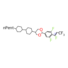 CCCCCC1CCC(C2CCC(C3COC(c4cc(F)c(/C(F)=C/C(F)(F)F)c(F)c4)OC3)CC2)CC1